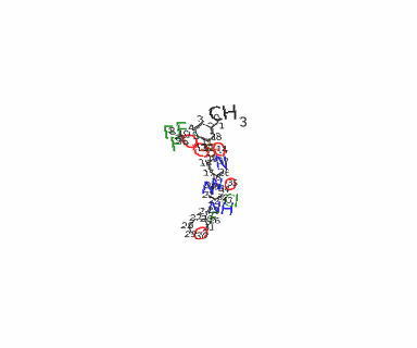 CCc1ccc(OC(F)(F)F)c(S(=O)(=O)c2ccc(-n3ncc(NCC4(F)CCCOC4)c(Cl)c3=O)cn2)c1